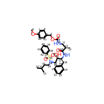 COc1ccc(COC(=O)NC[C@@H](C)C(=O)N[C@@H](Cc2ccccc2)[C@H](O)CN(CCC(C)C)S(=O)(=O)c2ccccc2)cc1